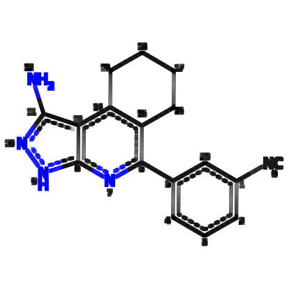 [C-]#[N+]c1cccc(-c2nc3[nH]nc(N)c3c3c2CCCC3)c1